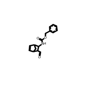 O=CC1C2C=CC(C2)C1NC(=O)OCc1ccccc1